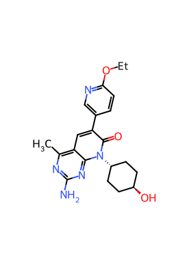 CCOc1ccc(-c2cc3c(C)nc(N)nc3n([C@H]3CC[C@H](O)CC3)c2=O)cn1